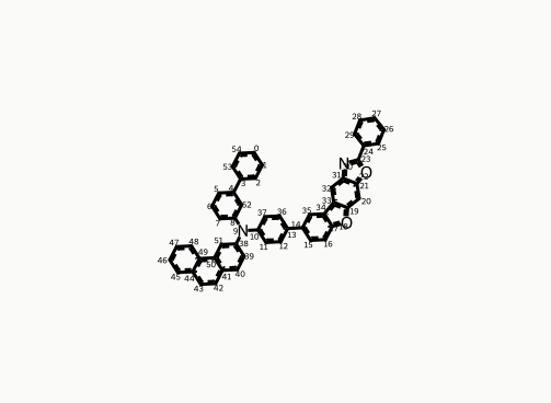 c1ccc(-c2cccc(N(c3ccc(-c4ccc5oc6cc7oc(-c8ccccc8)nc7cc6c5c4)cc3)c3ccc4ccc5ccccc5c4c3)c2)cc1